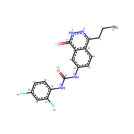 CC(C)(C)CCc1n[nH]c(=O)c2cc(NC(=O)Nc3ccc(F)cc3F)ccc12